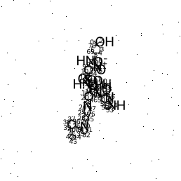 CC1(O)CCC(CNc2ccc(S(=O)(=O)NC(=O)c3ccc(N4CCC5(CC4)CC(N4CCC[C@H]4c4ccccc4C4CCC4)C5)cc3N3c4cc5cc[nH]c5nc4O[C@H]4COC[C@@H]43)cc2[N+](=O)[O-])CC1